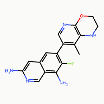 Cc1c(-c2cc3cc(N)ncc3c(N)c2F)cnc2c1NCCO2